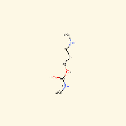 CCCCNCCCOC(=O)NCCCC